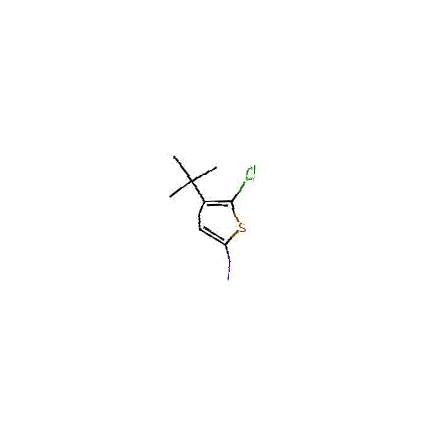 CC(C)(C)c1cc(I)sc1Cl